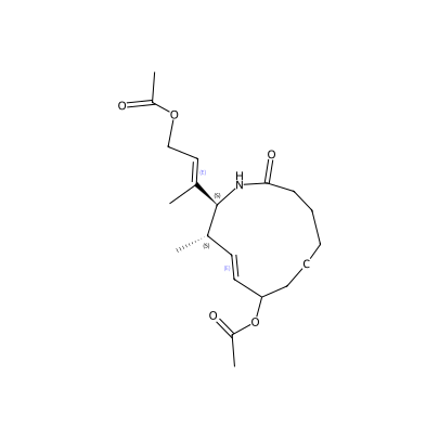 CC(=O)OC/C=C(\C)[C@H]1NC(=O)CCCCCC(OC(C)=O)/C=C/[C@@H]1C